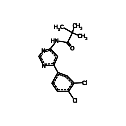 CC(C)(C)C(=O)Nc1cc(-c2ccc(Cl)c(Cl)c2)ncn1